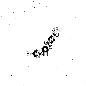 CC(C)(C)OC(=O)N1CCN(S(=O)(=O)c2ccc(Nc3ncc(Br)cn3)cc2)CC1